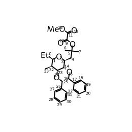 CC[C@H]1O[C@@H](CC(C)(C)OC(=O)C(=O)OC)[C@H](OCc2ccccc2)[C@@H](OCc2ccccc2)[C@H]1C